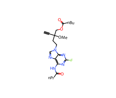 C#CC(CCn1cnc2c(NC(=O)CCC)nc(F)nc21)(COC(=O)CCCC)OC